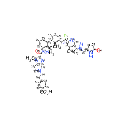 COc1cc(/C(F)=C/c2cccc(-c3cccc(NC(=O)c4nc5c(n4C)CCN(CCC46CCC(C(=O)O)(CC4)C6)C5)c3C)c2C)ncc1CNC[C@@H]1CCC(=O)N1